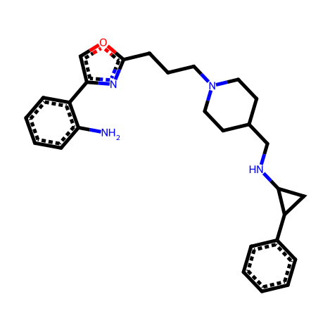 Nc1ccccc1-c1coc(CCCN2CCC(CNC3CC3c3ccccc3)CC2)n1